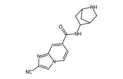 N#Cc1cn2ccc(C(=O)NC3CC4CC3CN4)cc2n1